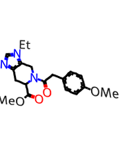 CCn1cnc2c1CN(C(=O)Cc1ccc(OC)cc1)C(C(=O)OC)C2